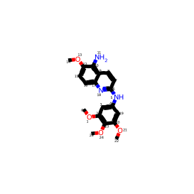 COc1cc(Nc2ccc3c(N)c(OC)ccc3n2)cc(OC)c1OC